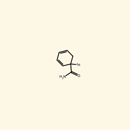 [2H]C1(C(N)=O)C=CC=CC1